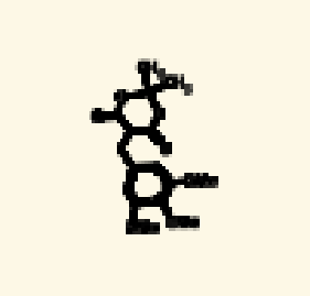 COc1cc(CC2C(=O)OC(C)(C)OC2=O)cc(OC)c1OC